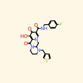 O=C(NCc1ccc(F)cc1)c1cn2c(c(O)c1=O)C(=O)N1CCCN(Cc3ccsc3)C1C2